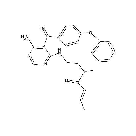 C/C=C/C(=O)N(C)CCNc1ncnc(N)c1C(=N)c1ccc(Oc2ccccc2)cc1